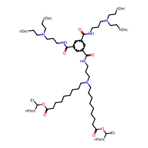 CCCCCCCCCCCCN(CCCCCCCCCCCC)CCCNC(=O)c1cc(C(=O)NCCCN(CCCCCCCCCCCC)CCCCCCCCCCCC)cc(C(=O)NCCCN(CCCCCCCCC(=O)OC(CC)CCCCC)CCCCCCCCC(=O)OC(CC)CCCCC)c1